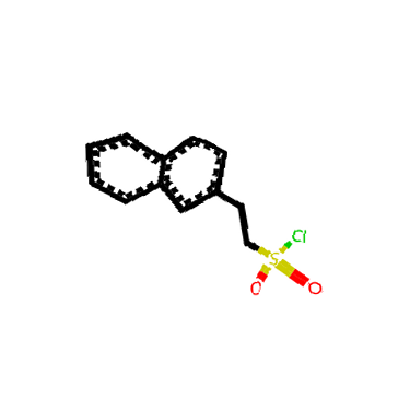 O=S(=O)(Cl)CCc1ccc2ccccc2c1